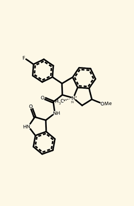 COC1C[N@+]2(C)c3c1cccc3C(c1ccc(F)cc1)C2C(=O)NC1C(=O)Nc2ccccc21